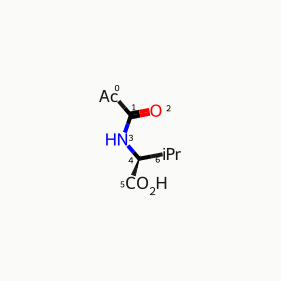 CC(=O)C(=O)N[C@H](C(=O)O)C(C)C